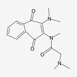 CN(C)CC(=O)N(C)C1=C(N(C)C)C(=O)c2ccccc2C1=O